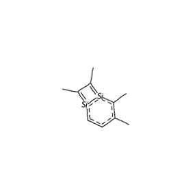 CC1=[si]2ccc(C)c(C)[si]2=C1C